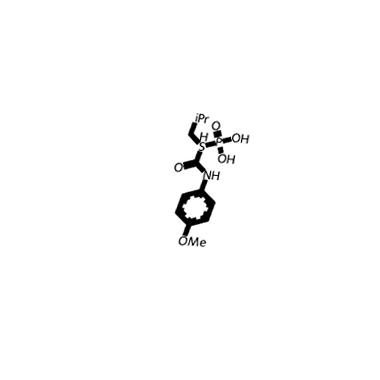 COc1ccc(NC(=O)[SH](CC(C)C)P(=O)(O)O)cc1